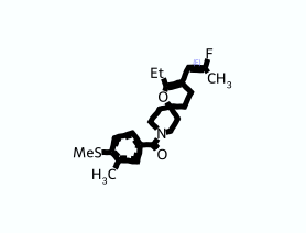 CCC1=C(/C=C(\C)F)CCC2(CCN(C(=O)c3ccc(SC)c(C)c3)CC2)O1